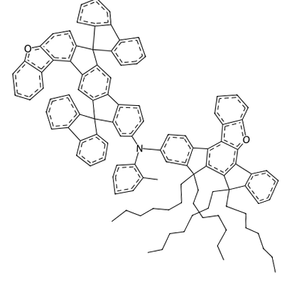 CCCCCCCC1(CCCCCCC)c2ccccc2-c2c1c1c(c3c2oc2ccccc23)-c2ccc(N(c3ccc4c(c3)C3(c5ccccc5-c5ccccc53)c3cc5c(cc3-4)C3(c4ccccc4-c4ccccc43)c3ccc4oc6ccccc6c4c3-5)c3ccccc3C)cc2C1(CCCCCCC)CCCCCCC